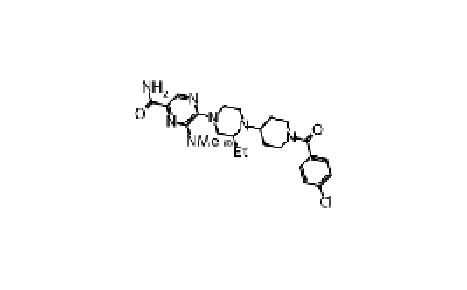 CC[C@H]1CN(c2ncc(C(N)=O)nc2NC)CCN1C1CCN(C(=O)c2ccc(Cl)cc2)CC1